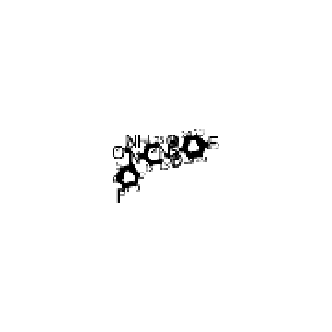 NC(=O)N(c1ccc(F)cc1)C1CCN(S(=O)(=O)c2ccc(F)cc2)CC1